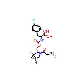 C=CC(=O)N1C[C@@H]2C[C@@H]2[C@@H]1COC(=O)NC(Cc1ccc(F)cc1)B(O)O